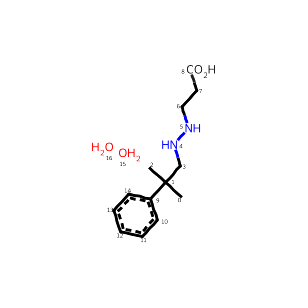 CC(C)(CNNCCC(=O)O)c1ccccc1.O.O